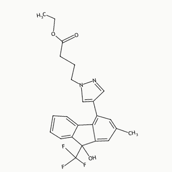 CCOC(=O)CCCn1cc(-c2cc(C)cc3c2-c2ccccc2C3(O)C(F)(F)F)cn1